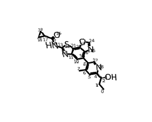 CC[C@H](O)c1cc(C)c(-c2cc3nc(NC(=O)C4CC4)sc3c3ocnc23)cn1